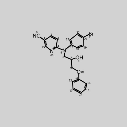 N#Cc1ccc(N(CC(O)COc2ccccc2)c2ccc(Br)cc2)nc1